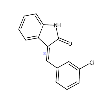 O=C1Nc2ccccc2/C1=C/c1cccc(Cl)c1